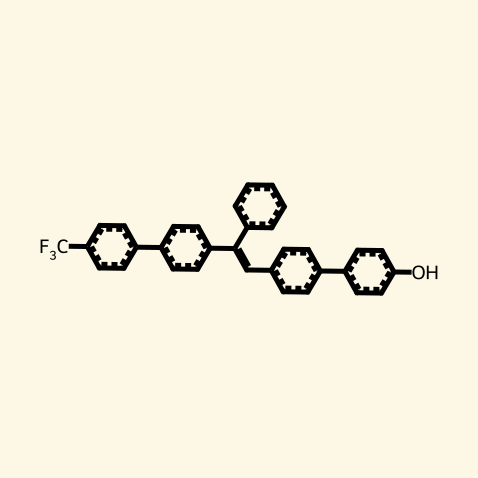 Oc1ccc(-c2ccc(/C=C(\c3ccccc3)c3ccc(-c4ccc(C(F)(F)F)cc4)cc3)cc2)cc1